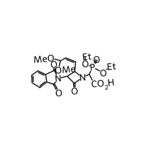 CCOP(=O)(OCC)C(C(=O)O)N1C(=O)C(N2C(=O)c3ccccc3C2=O)C1/C=C\C(OC)OC